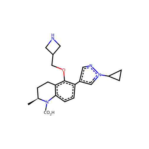 C[C@H]1CCc2c(ccc(-c3cnn(C4CC4)c3)c2OCC2CNC2)N1C(=O)O